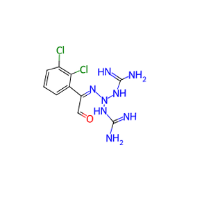 N=C(N)NN(N=C(C=O)c1cccc(Cl)c1Cl)NC(=N)N